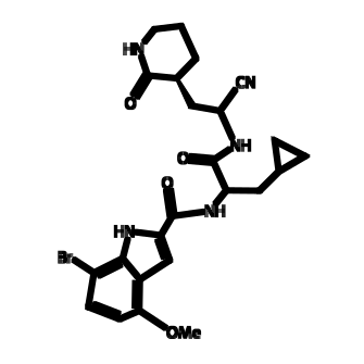 COc1ccc(Br)c2[nH]c(C(=O)NC(CC3CC3)C(=O)NC(C#N)C[C@@H]3CCCNC3=O)cc12